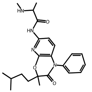 CNC(C)C(=O)Nc1ccc2c(n1)OC(C)(CCC(C)C)C(=O)N2c1ccccc1